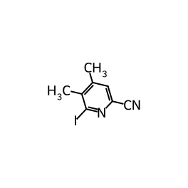 Cc1cc(C#N)nc(I)c1C